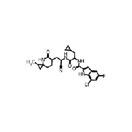 CC1CC12CCC(CC(C#N)NC(=O)C(CC1CC1)NC(=O)c1cc3cc(F)cc(Cl)c3[nH]1)C(=O)N2